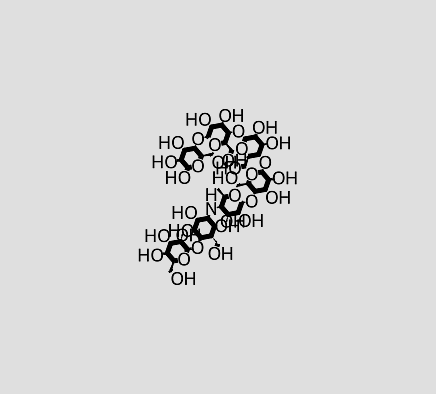 C[C@H]1O[C@H](O[C@H]2[C@@H](O)[C@H](O)[C@@H](O[C@H]3[C@@H](O)[C@H](O)[C@@H](O[C@H]4[C@@H](O)[C@H](O)[C@@H](O[C@H]5[C@@H](O)[C@H](O)C(O)O[C@@H]5CO)O[C@@H]4CO)O[C@@H]3CO)O[C@@H]2CO)[C@@H](O)[C@H](O)[C@@H]1N[C@H]1[C@H](O)[C@H](CO)[C@@H](O[C@H]2O[C@@H](CO)[C@@H](O)[C@H](O)[C@@H]2O)[C@@H](O)[C@@H]1O